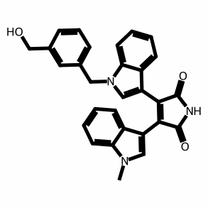 Cn1cc(C2=C(c3cn(Cc4cccc(CO)c4)c4ccccc34)C(=O)NC2=O)c2ccccc21